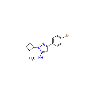 CNc1cc(-c2ccc(Br)cc2)nn1C1CCC1